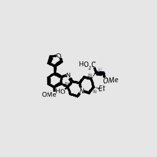 CC[C@@H]1CN2CC[C@@]3(O)C(=Nc4c(-c5ccoc5)ccc(OC)c43)C2C[C@@H]1/C(=C\OC)C(=O)O